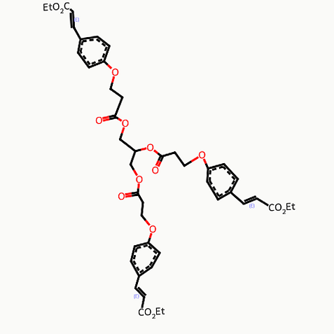 CCOC(=O)/C=C/c1ccc(OCCC(=O)OCC(COC(=O)CCOc2ccc(/C=C/C(=O)OCC)cc2)OC(=O)CCOc2ccc(/C=C/C(=O)OCC)cc2)cc1